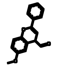 COc1ccc2c(c1)C(C=O)C=C(c1ccccc1)O2